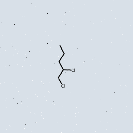 CCCC(Cl)CCl